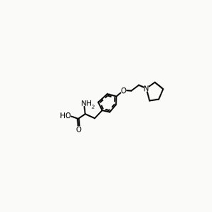 NC(Cc1ccc(OCCN2CCCC2)cc1)C(=O)O